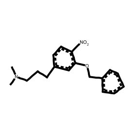 CN(C)CCCc1ccc([N+](=O)[O-])c(OCc2ccccc2)c1